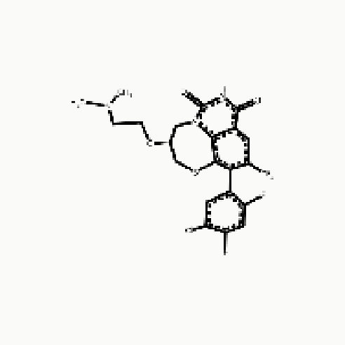 CN(C)CCO[C@@H]1CSc2c(-c3cc(Cl)c(F)cc3F)c(C(F)(F)F)cc3c(=O)[nH]c(=O)n(c23)C1